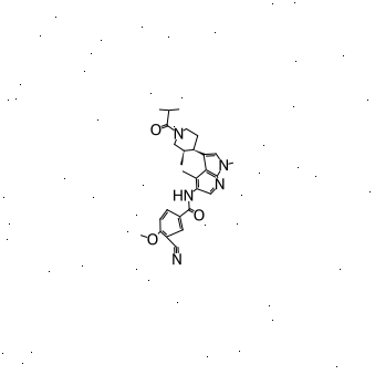 COc1ccc(C(=O)Nc2cnc3c(c([C@@H]4CCN(C(=O)C(C)C)C[C@@H]4C)cn3C)c2C)cc1C#N